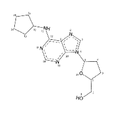 OCC1CCC(n2cnc3c(NC4CCCC4)ncnc32)O1